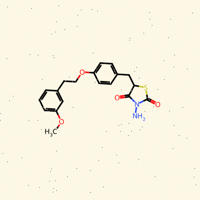 COc1cccc(CCOc2ccc(CC3SC(=O)N(N)C3=O)cc2)c1